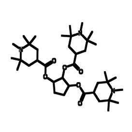 CN1C(C)(C)CC(C(=O)OC2CCC(OC(=O)C3CC(C)(C)N(C)C(C)(C)C3)C2OC(=O)C2CC(C)(C)N(C)C(C)(C)C2)CC1(C)C